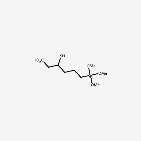 CO[Si](CCCC(S)CC(=O)O)(OC)OC